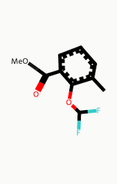 COC(=O)c1cccc(C)c1OC(F)F